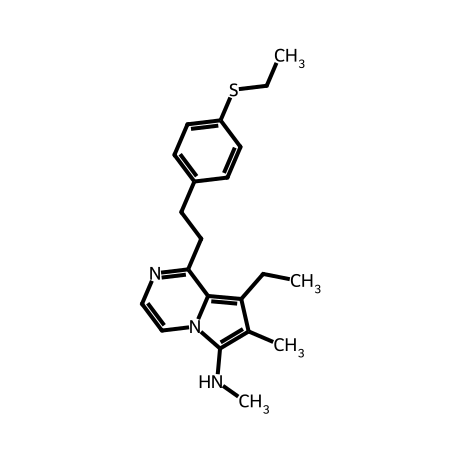 CCSc1ccc(CCc2nccn3c(NC)c(C)c(CC)c23)cc1